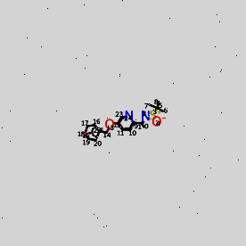 CC(=N[S@+]([O-])C(C)(C)C)c1ccc(OCC23CCC(CC2)CC3)cn1